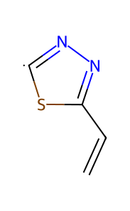 C=Cc1nn[c]s1